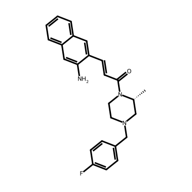 C[C@@H]1CN(Cc2ccc(F)cc2)CCN1C(=O)/C=C/c1cc2ccccc2cc1N